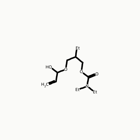 C=CC(O)OCC(CC)COC(=O)N(CC)CC